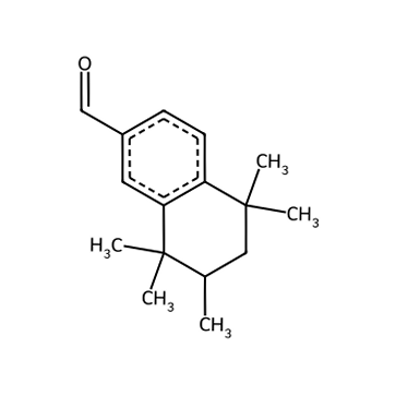 CC1CC(C)(C)c2ccc(C=O)cc2C1(C)C